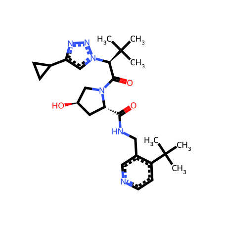 CC(C)(C)c1ccncc1CNC(=O)[C@@H]1C[C@@H](O)CN1C(=O)[C@@H](n1cc(C2CC2)nn1)C(C)(C)C